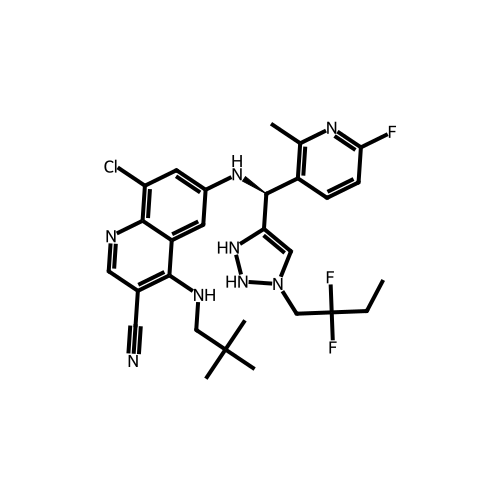 CCC(F)(F)CN1C=C([C@@H](Nc2cc(Cl)c3ncc(C#N)c(NCC(C)(C)C)c3c2)c2ccc(F)nc2C)NN1